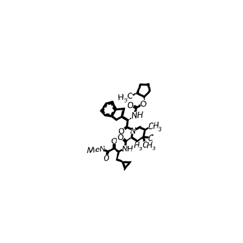 CNC(=O)C(=O)C(CC1CC1)NC(=O)[C@@H]1CC(C)(C)C(C)CN1C(=O)[C@@H](NC(=O)O[C@H]1CCC[C@@H]1C)C1Cc2ccccc2C1